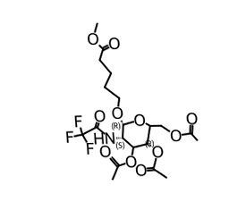 COC(=O)CCCCO[C@@H]1OC(COC(C)=O)[C@H](OC(C)=O)C(OC(C)=O)[C@@H]1NC(=O)C(F)(F)F